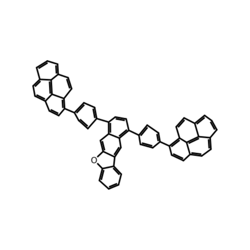 c1cc2ccc3ccc(-c4ccc(-c5ccc(-c6ccc(-c7ccc8ccc9cccc%10ccc7c8c9%10)cc6)c6cc7c(cc56)oc5ccccc57)cc4)c4ccc(c1)c2c34